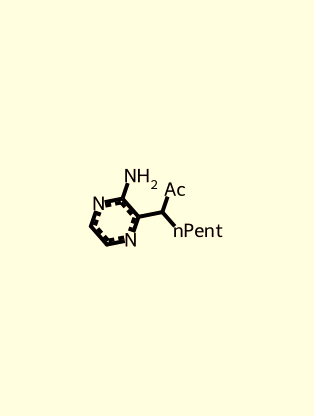 CCCCCC(C(C)=O)c1nccnc1N